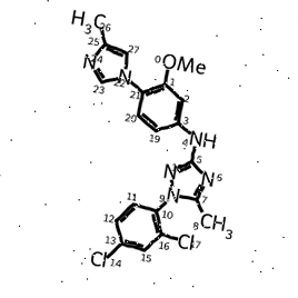 COc1cc(Nc2nc(C)n(-c3ccc(Cl)cc3Cl)n2)ccc1-n1cnc(C)c1